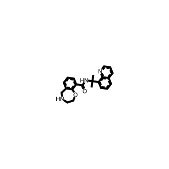 CC(C)(NC(=O)c1cccc2c1OCCNC2)c1cccc2cccnc12